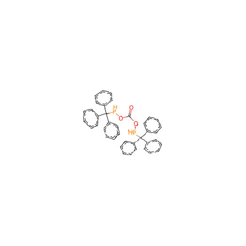 O=C(OPC(c1ccccc1)(c1ccccc1)c1ccccc1)OPC(c1ccccc1)(c1ccccc1)c1ccccc1